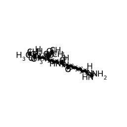 CC(C)(C)OC(=O)NCCCN(CCCCNC(=O)CNC(=O)CCCCCCCCNC(=N)N)C(=O)OC(C)(C)C